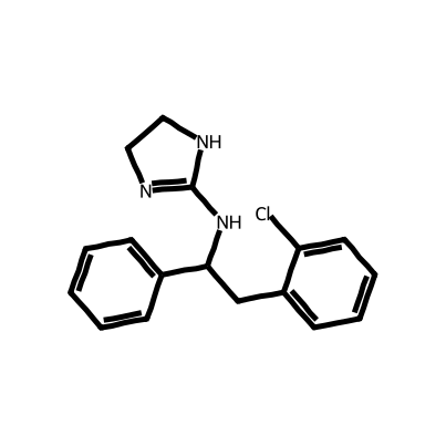 Clc1ccccc1CC(NC1=NCCN1)c1ccccc1